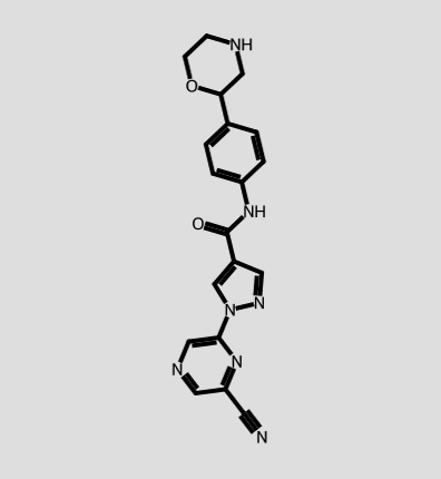 N#Cc1cncc(-n2cc(C(=O)Nc3ccc(C4CNCCO4)cc3)cn2)n1